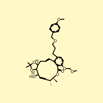 COCOc1ccc(CCCOCc2ccc(OC)cc2)c2c1C(=O)O[C@@H](C)[C@H](C)/C=C\C(O)[C@H]1OC(C)(C)O[C@H]1C/C=C/2